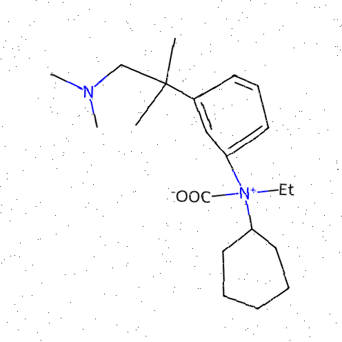 CC[N+](C(=O)[O-])(c1cccc(C(C)(C)CN(C)C)c1)C1CCCCC1